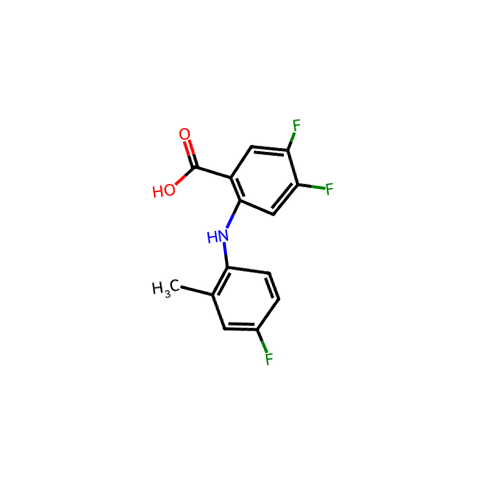 Cc1cc(F)ccc1Nc1cc(F)c(F)cc1C(=O)O